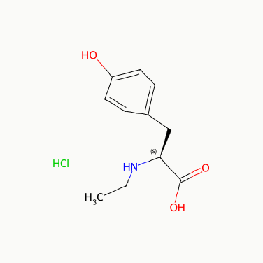 CCN[C@@H](Cc1ccc(O)cc1)C(=O)O.Cl